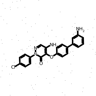 Nc1cccc(-c2ccc(Oc3c(N)cnn(-c4ccc(Cl)cc4)c3=O)cc2)c1